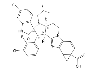 CC(C)CN1[C@H]2CCn3c(nc4c3C=CC3(C(=O)O)CC43)[C@H]2[C@H](c2cccc(Cl)c2F)[C@]12C(=O)Nc1cc(Cl)ccc12